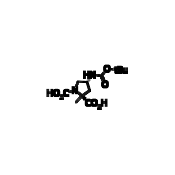 CC(C)(C)OC(=O)N[C@H]1CN(C(=O)O)[C@](C)(C(=O)O)C1